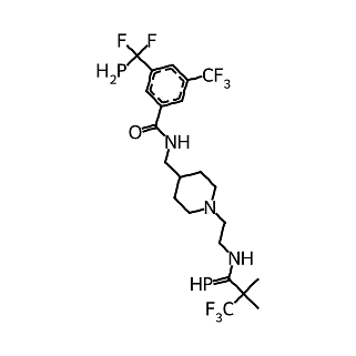 CC(C)(C(=P)NCCN1CCC(CNC(=O)c2cc(C(F)(F)F)cc(C(F)(F)P)c2)CC1)C(F)(F)F